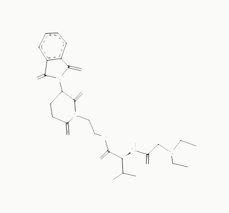 CCN(CC)CC(=O)N[C@H](C(=O)OCCN1C(=O)CCC(N2C(=O)c3ccccc3C2=O)C1=O)C(C)C